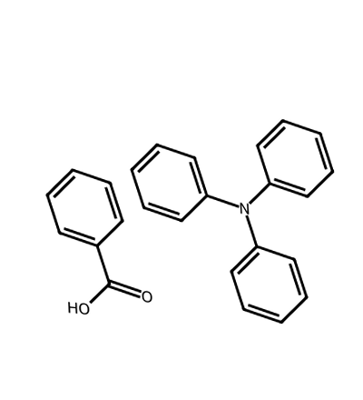 O=C(O)c1ccccc1.c1ccc(N(c2ccccc2)c2ccccc2)cc1